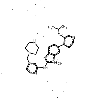 CC(C)Oc1cnccc1-c1ccc2nc(Nc3cc(CN4CCNCC4)ccn3)[nH]c2c1.Cl